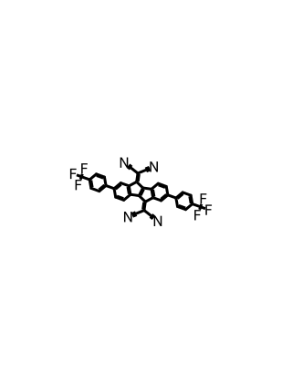 N#CC(C#N)=C1C2=C(C(=C(C#N)C#N)c3cc(-c4ccc(C(F)(F)F)cc4)ccc32)c2ccc(-c3ccc(C(F)(F)F)cc3)cc21